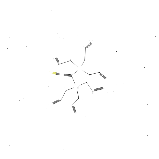 C=CC[Si](CC=C)(CC=C)C(=C=S)[Si](CC=C)(CC=C)CC=C